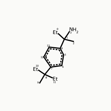 CCC(C)(N)c1ccc(C(C)(CC)CC)cc1